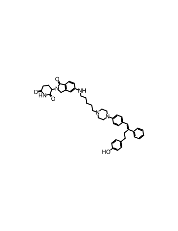 O=C1CCC(N2Cc3cc(NCCCCCN4CCN(c5ccc(/C=C(\CCc6ccc(O)cc6)c6ccccc6)cc5)CC4)ccc3C2=O)C(=O)N1